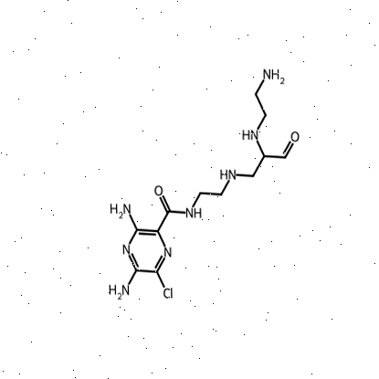 NCCNC(C=O)CNCCNC(=O)c1nc(Cl)c(N)nc1N